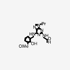 COc1cccc(CNc2nc(NCC(C)O)nc3c2ncn3C(C)C)c1O